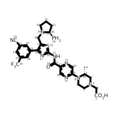 C[C@@H]1CN(CC(=O)O)CCN1c1cnc(C(=O)Nc2nc(-c3cc(C#N)cc(C(F)(F)F)c3)c(CN3CCC[C@H]3P)s2)cn1